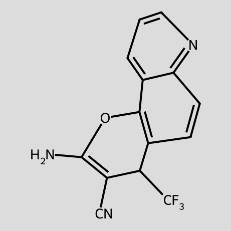 N#CC1=C(N)Oc2c(ccc3ncccc23)C1C(F)(F)F